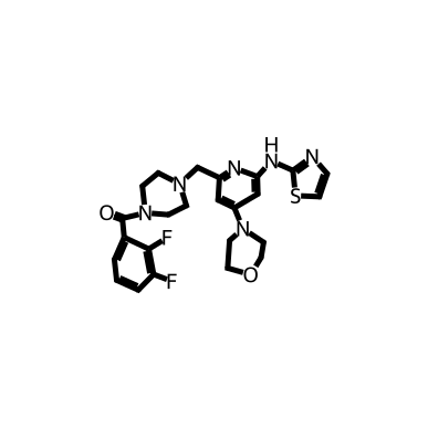 O=C(c1cccc(F)c1F)N1CCN(Cc2cc(N3CCOCC3)cc(Nc3nccs3)n2)CC1